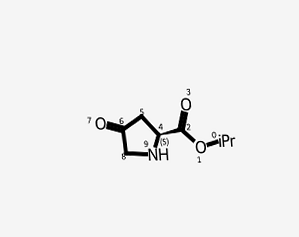 CC(C)OC(=O)[C@@H]1CC(=O)CN1